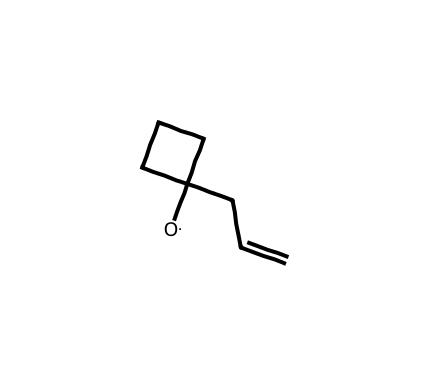 C=CCC1([O])CCC1